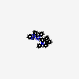 c1ccc(N2c3ccccc3C(c3ccccc3)(c3ccccc3)c3ccc(-c4nnc(-c5ccccc5-n5cnc6ccccc65)n4-c4ccccc4)cc32)cc1